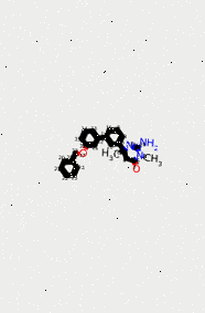 CN1C(=O)CC(C)(c2cccc(-c3cccc(OCc4ccccc4)c3)c2)N=C1N